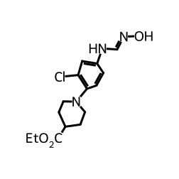 CCOC(=O)C1CCN(c2ccc(N/C=N/O)cc2Cl)CC1